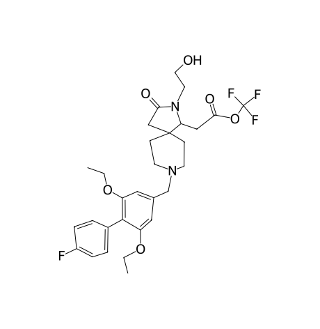 CCOc1cc(CN2CCC3(CC2)CC(=O)N(CCO)C3CC(=O)OC(F)(F)F)cc(OCC)c1-c1ccc(F)cc1